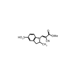 COC(=O)/C(C#N)=C/N1c2ccc(S(=O)(=O)O)cc2CC1C